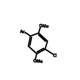 COc1cc(C(C)=O)c(OC)cc1Cl